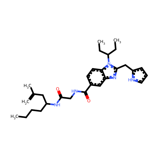 C=C(C)CC(CCCC)NC(=O)CNC(=O)c1ccc2c(c1)nc(Cc1ccc[nH]1)n2C(CC)CC